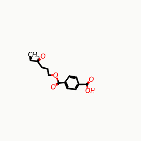 C=CC(=O)CCCOC(=O)c1ccc(C(=O)O)cc1